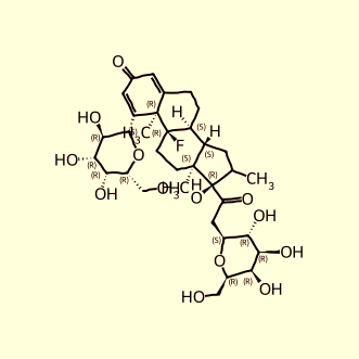 CC1C[C@H]2[C@@H]3CCC4=CC(=O)C=C([C@@H]5O[C@H](CO)[C@H](O)[C@H](O)[C@H]5O)[C@]4(C)[C@@]3(F)CC[C@]2(C)[C@@]1(O)C(=O)C[C@@H]1O[C@H](CO)[C@H](O)[C@H](O)[C@H]1O